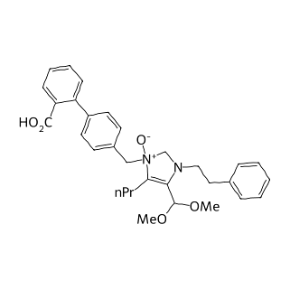 CCCC1=C(C(OC)OC)N(CCc2ccccc2)C[N+]1([O-])Cc1ccc(-c2ccccc2C(=O)O)cc1